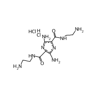 Cl.Cl.NCCNC(=O)c1nc(N)c(C(=O)NCCN)nc1N